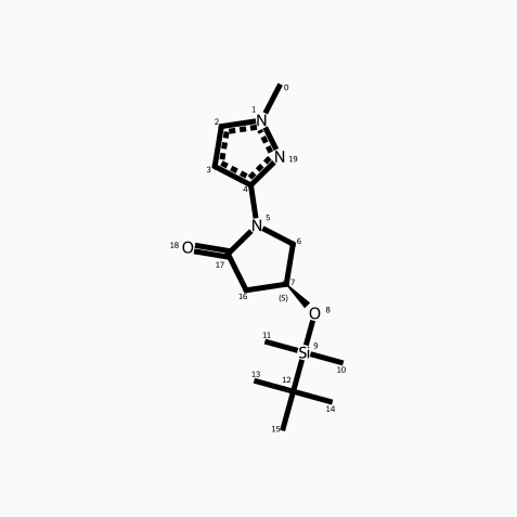 Cn1ccc(N2C[C@@H](O[Si](C)(C)C(C)(C)C)CC2=O)n1